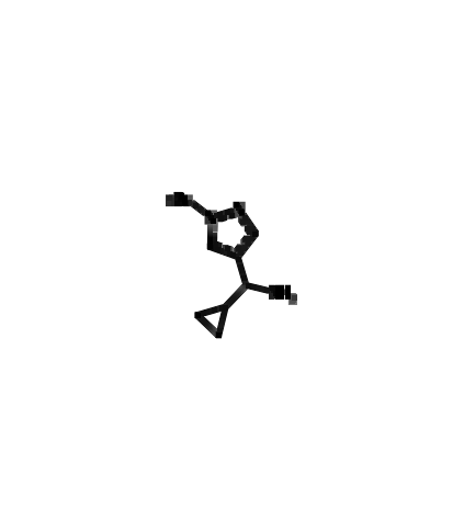 CCCCn1cc(C(N)C2CC2)cn1